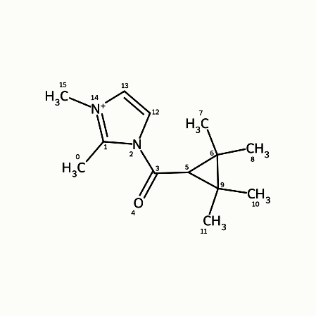 Cc1n(C(=O)C2C(C)(C)C2(C)C)cc[n+]1C